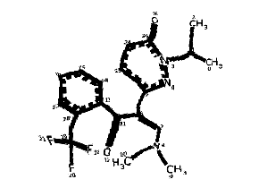 CC(C)n1nc(/C(=C/N(C)C)C(=O)c2ccccc2C(F)(F)F)ccc1=O